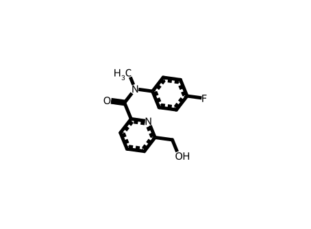 CN(C(=O)c1cccc(CO)n1)c1ccc(F)cc1